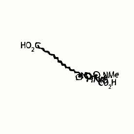 CNC(=O)C[C@H](NC(=O)C1CCN(C(=O)CCCCCCCCCCCCCCCCCCC(=O)O)CC1)C(=O)O